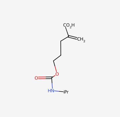 C=C(CCCOC(=O)NC(C)C)C(=O)O